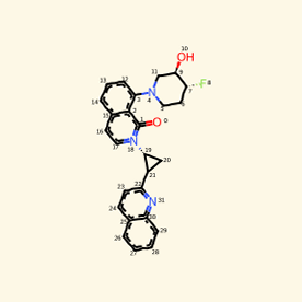 O=c1c2c(N3CC[C@@H](F)[C@H](O)C3)cccc2ccn1[C@@H]1CC1c1ccc2ccccc2n1